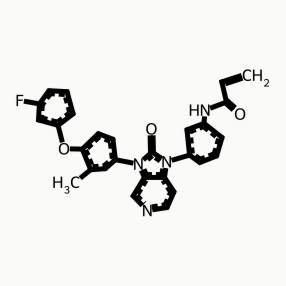 C=CC(=O)Nc1cccc(-n2c(=O)n(-c3ccc(Oc4cccc(F)c4)c(C)c3)c3cnccc32)c1